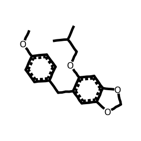 COc1ccc(Cc2cc3c(cc2OCC(C)C)OCO3)cc1